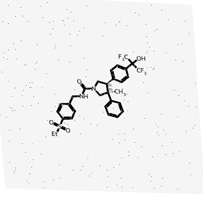 CCS(=O)(=O)c1ccc(CNC(=O)N2C[C@@H](c3ccc(C(O)(C(F)(F)F)C(F)(F)F)cc3)[C@@](C)(c3ccccc3)C2)cc1